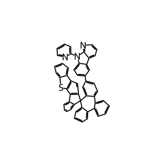 c1ccc(-n2c3ccc(-c4ccc5c(c4)C4(c6ccccc6-c6ccccc6-5)c5ccccc5-c5c4ccc4c5sc5ccccc54)cc3c3cccnc32)nc1